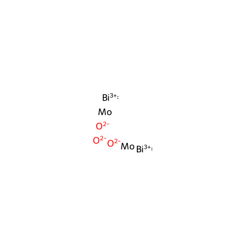 [Bi+3].[Bi+3].[Mo].[Mo].[O-2].[O-2].[O-2]